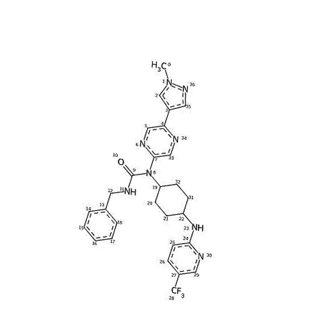 Cn1cc(-c2cnc(N(C(=O)NCc3ccccc3)C3CCC(Nc4ccc(C(F)(F)F)cn4)CC3)cn2)cn1